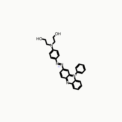 OCCN(CCO)c1ccc(/N=N/c2ccc3nc4ccccc4[n+](-c4ccccc4)c3c2)cc1